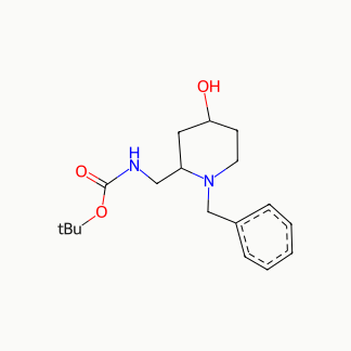 CC(C)(C)OC(=O)NCC1CC(O)CCN1Cc1ccccc1